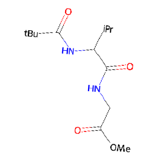 COC(=O)CNC(=O)C(NC(=O)C(C)(C)C)C(C)C